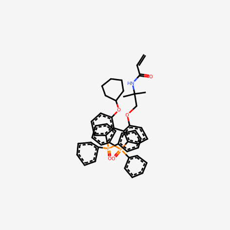 C=CC(=O)NC(C)(C)COc1cccc(P(=O)(c2ccccc2)c2ccccc2)c1-c1c(OC2CCCCC2)cccc1P(=O)(c1ccccc1)c1ccccc1